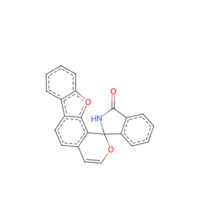 O=C1NC2(OC=Cc3ccc4c(oc5ccccc54)c32)c2ccccc21